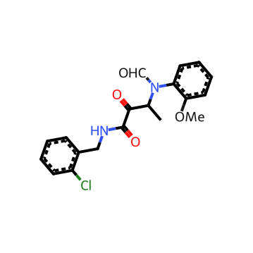 COc1ccccc1N(C=O)C(C)C(=O)C(=O)NCc1ccccc1Cl